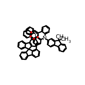 CC1(C)c2ccccc2-c2ccc(N(c3cc(-c4ccccc4)cc(-c4cccc5c4C4(c6ccccc6-5)c5ccccc5-c5c4ccc4oc6ccccc6c54)c3)c3ccccc3-c3ccccc3)cc21